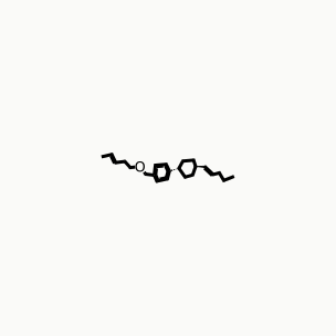 C/C=C/CCOCc1ccc([C@H]2CC[C@H](/C=C/CCC)CC2)cc1